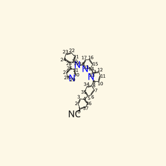 N#Cc1ccc(-c2ccc(-c3cccc(-c4cccc(-n5c6ccccc6c6ccncc65)n4)n3)cc2)cc1